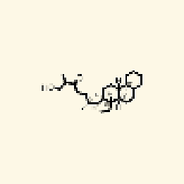 CC(CO)C(=O)CC[C@@H](C)[C@H]1CC[C@H]2[C@@H]3CCC4CCCC[C@]4(C)[C@H]3CC[C@]12C